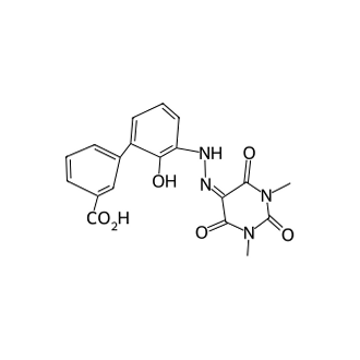 CN1C(=O)C(=NNc2cccc(-c3cccc(C(=O)O)c3)c2O)C(=O)N(C)C1=O